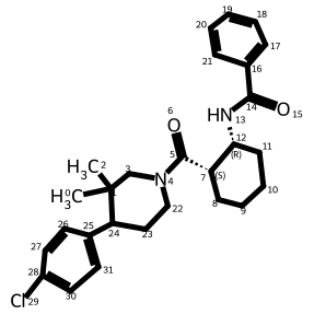 CC1(C)CN(C(=O)[C@H]2CCCC[C@H]2NC(=O)c2ccccc2)CCC1c1ccc(Cl)cc1